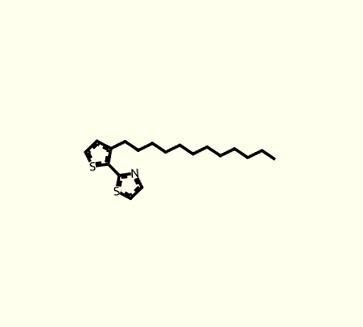 CCCCCCCCCCCCc1ccsc1-c1nccs1